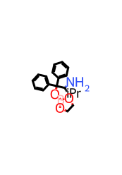 CC(C)C(N)C(OB1OCCO1)(c1ccccc1)c1ccccc1